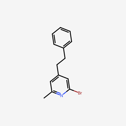 Cc1cc(CCc2ccccc2)cc(Br)n1